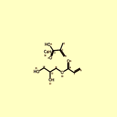 C=C(C)C(=O)O.C=CC(=O)OCC(O)CO.[CaH2]